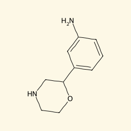 Nc1cccc(C2CNCCO2)c1